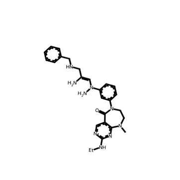 CCNc1ncc2c(n1)N(C)CCN(c1cccc(N(N)/C=C(\N)CNCc3ccccc3)c1)C2=O